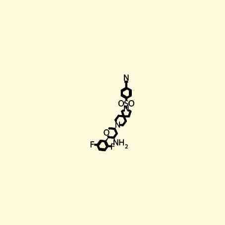 N#Cc1ccc(S(=O)(=O)N2CCC3(CCN([C@H]4CO[C@H](c5cc(F)ccc5F)[C@@H](N)C4)CC3)C2)cc1